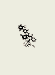 CC(C)(C)OC(=O)Cn1c(C(=O)N2CCOCC2)c(CN2CCC(c3c(F)cccc3Cl)CC2)c2cc(F)ccc21